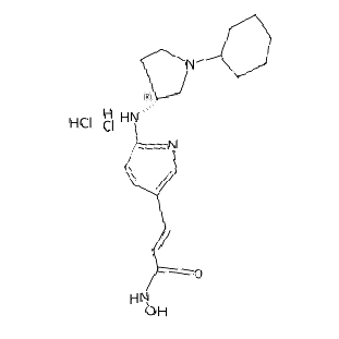 Cl.Cl.O=C(C=Cc1ccc(N[C@@H]2CCN(C3CCCCC3)C2)nc1)NO